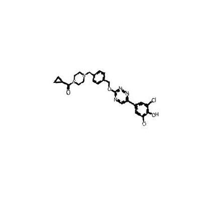 O=C(C1CC1)N1CCN(Cc2ccc(COc3ncc(-c4cc(Cl)c(O)c(Cl)c4)nn3)cc2)CC1